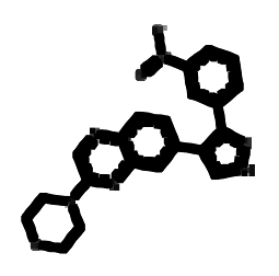 O=[N+]([O-])c1cccc(-c2n[nH]cc2-c2ccc3ncc(N4CCOCC4)nc3c2)c1